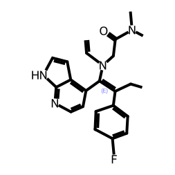 C=CN(CC(=O)N(C)C)/C(=C(\CC)c1ccc(F)cc1)c1ccnc2[nH]ccc12